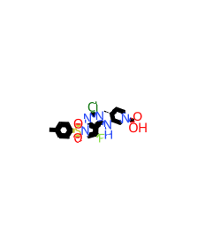 Cc1ccc(S(=O)(=O)n2cc(F)c3c(N[C@H]4CN(C(=O)O)CC[C@H]4C)nc(Cl)nc32)cc1